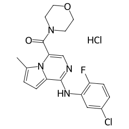 Cc1ccc2c(Nc3cc(Cl)ccc3F)ncc(C(=O)N3CCOCC3)n12.Cl